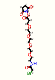 O=C(CBr)NCCOCCOCCOCCOCCC(=O)ON1C(=O)CCC1=O